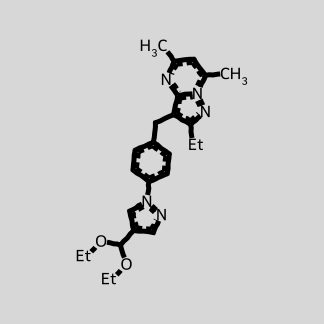 CCOC(OCC)c1cnn(-c2ccc(Cc3c(CC)nn4c(C)cc(C)nc34)cc2)c1